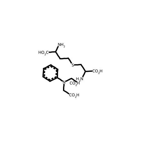 NC(CCSCC(N)C(=O)O)C(=O)O.O=C(O)CN(CC(=O)O)c1ccccc1